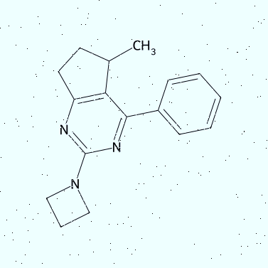 CC1CCc2nc(N3CCC3)nc(-c3ccccc3)c21